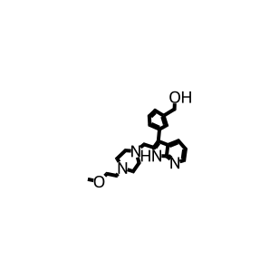 COCCN1CCN(Cc2[nH]c3ncccc3c2-c2cccc(CO)c2)CC1